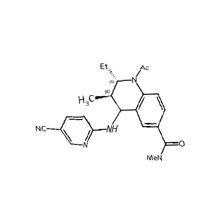 CC[C@H]1[C@H](C)C(Nc2ccc(C#N)cn2)c2cc(C(=O)NC)ccc2N1C(C)=O